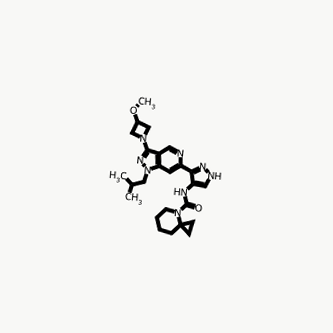 COC1CN(c2nn(CC(C)C)c3cc(-c4n[nH]cc4NC(=O)N4CCCCC45CC5)ncc23)C1